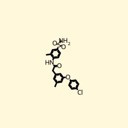 Cc1cc(CC(=O)Nc2ccc(S(N)(=O)=O)cc2C)cc(Oc2ccc(Cl)cc2)c1